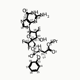 CC(C)OC(=O)[C@H](C)NP(=O)(OC[C@@]1(C(F)F)O[C@@H](n2cnc3c(=O)[nH]c(N)nc32)C(F)[C@@H]1O)Oc1ccccc1